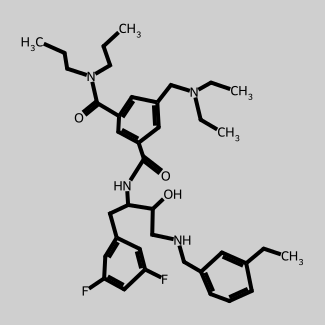 CCCN(CCC)C(=O)c1cc(CN(CC)CC)cc(C(=O)NC(Cc2cc(F)cc(F)c2)C(O)CNCc2cccc(CC)c2)c1